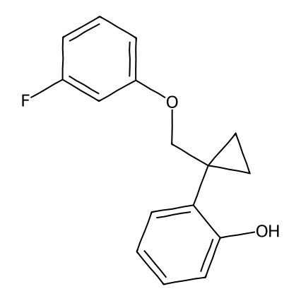 Oc1ccccc1C1(COc2cccc(F)c2)CC1